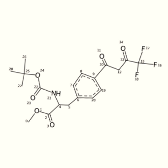 COC(=O)C(Cc1ccc(C(=O)CC(=O)C(F)(F)F)cc1)NC(=O)OC(C)(C)C